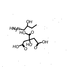 CCC(O)CN.O=C(O)CC(O)(CC(=O)O)C(=O)O.[NaH]